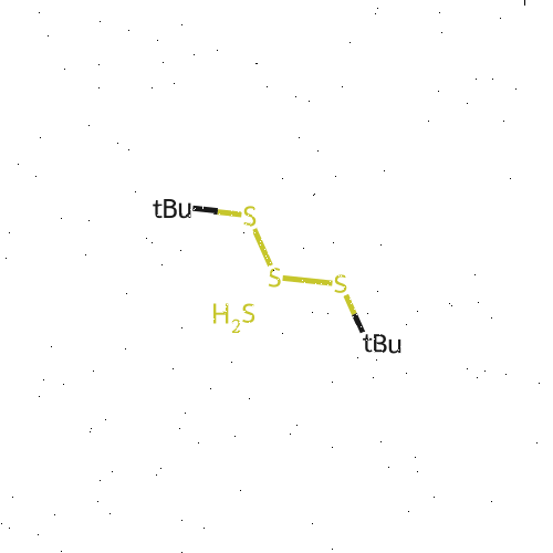 CC(C)(C)SSSC(C)(C)C.S